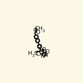 CCCN(C(=O)c1c(Cl)ncnc1Cl)c1ccc(C2CCC3(CCC(CC(=O)OC)CC3)CC2)cc1